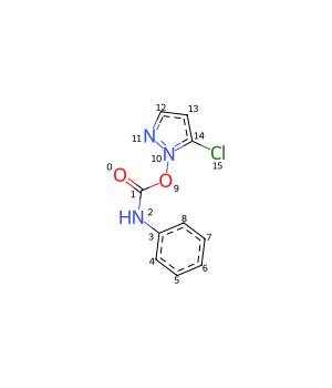 O=C(Nc1ccccc1)On1nccc1Cl